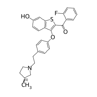 C[C@H]1CCN(CCc2ccc(Oc3c(C(=O)c4ccccc4F)sc4cc(O)ccc34)cc2)C1